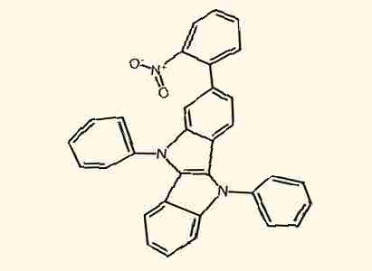 O=[N+]([O-])c1ccccc1-c1ccc2c(c1)n(-c1ccccc1)c1c3ccccc3n(-c3ccccc3)c21